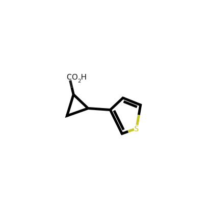 O=C(O)C1CC1c1ccsc1